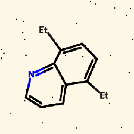 CCc1ccc(CC)c2ncccc12